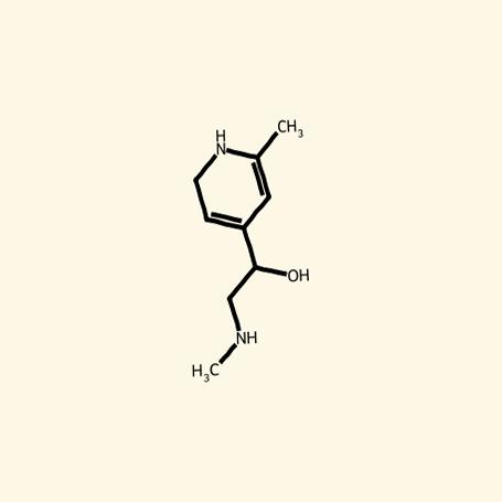 CNCC(O)C1=CCNC(C)=C1